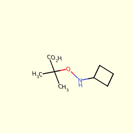 CC(C)(ONC1CCC1)C(=O)O